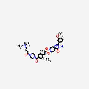 Cc1cc(C(=O)N2CCN(C(=O)CCCN(C)C)CC2)cc(C)c1/C=C/S(=O)(=O)N1CCC2(CC1)N=C(c1cccc(OC(F)(F)F)c1)NC2=O